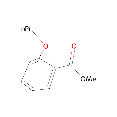 [CH2]OC(=O)c1ccccc1OCCC